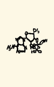 C[C@H]1O[C@@H](n2cnc3c(N)ncnc32)[C@H](O)[C@@H]1OP(=O)(O)OP(=O)(O)O